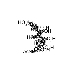 CC(=O)Nc1ccc(N=Nc2c(S(=O)(=O)O)cc3cc(S(=O)(=O)O)c(N=Nc4cc(OCCO)c(N=NC5C(=O)N(c6ccc(S(=O)(=O)O)cc6)N=C5C(=O)O)cc4OCCO)c(O)c3c2O)c(S(=O)(=O)O)c1